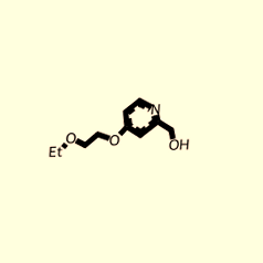 CCOCCOc1ccnc(CO)c1